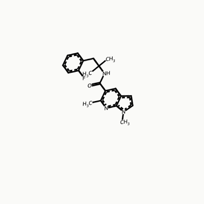 Cc1nc2c(ccn2C)cc1C(=O)NC(C)(C)Cc1ccccc1F